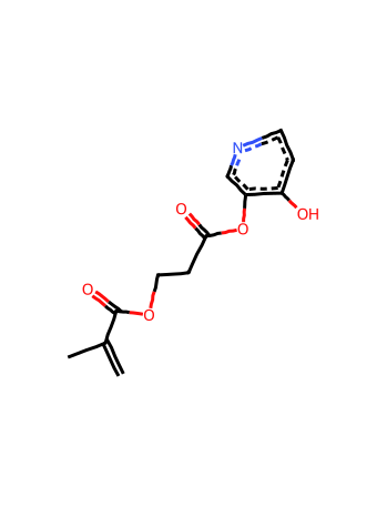 C=C(C)C(=O)OCCC(=O)Oc1cnccc1O